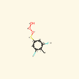 Cc1c(F)cc(SOOO)cc1F